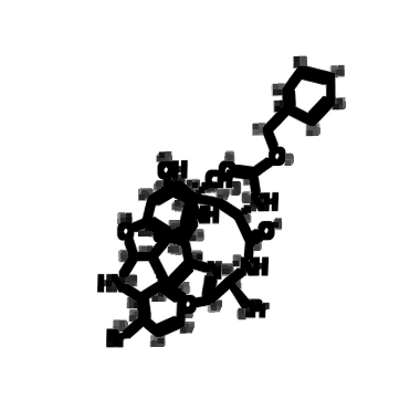 CC(C)[C@@H]1NC(=O)[C@@H](NC(=O)OCc2ccccc2)Cc2ccc3c(c2)[C@@]2(c4cccc(Br)c4NC2O3)c2oc1nc2C(=O)N[C@@H](C)CO